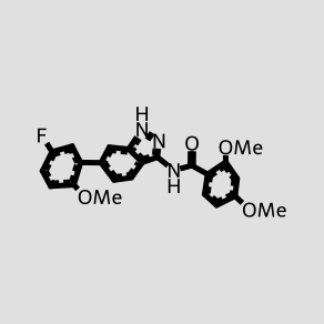 COc1ccc(C(=O)Nc2n[nH]c3cc(-c4cc(F)ccc4OC)ccc23)c(OC)c1